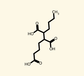 CCCCC(C(=O)O)C(CCCC(=O)O)C(=O)O